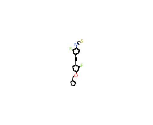 Fc1cc(OCC2=CCCC2)ccc1C#Cc1ccc(N=C=S)c(F)c1